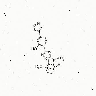 CN(c1nnc(-c2ccc(-n3ccnc3)cc2O)s1)[C@H]1C[C@@]2(C)CCC1CN2